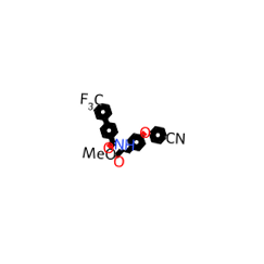 COC(=O)[C@H](Cc1ccc(Oc2ccc(C#N)cc2)cc1)NC(=O)c1ccc(-c2ccc(C(F)(F)F)cc2)cc1